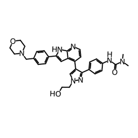 CN(C)C(=O)Nc1ccc(-c2nn(CCO)cc2-c2ccnc3[nH]c(-c4ccc(CN5CCOCC5)cc4)cc23)cc1